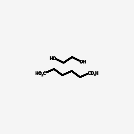 O=C(O)CCCCC(=O)O.OCCO